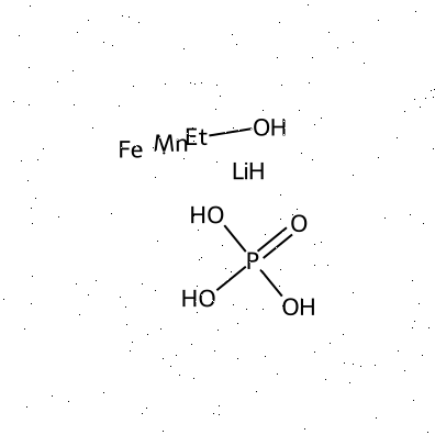 CCO.O=P(O)(O)O.[Fe].[LiH].[Mn]